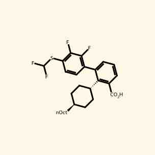 CCCCCCCC[C@H]1CC[C@H](c2c(C(=O)O)cccc2-c2ccc(SC(F)F)c(F)c2F)CC1